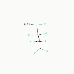 CC(=O)OC(F)C(F)(F)C(F)(F)C(F)F